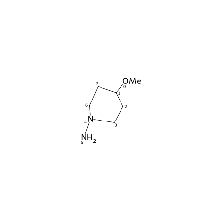 COC1CCN(N)CC1